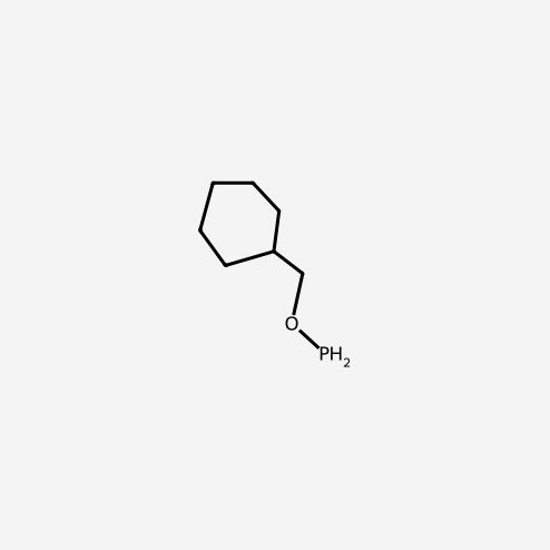 POCC1CCCCC1